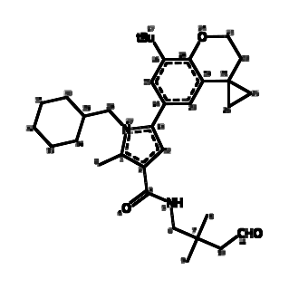 Cc1c(C(=O)NCC(C)(C)CC=O)cc(-c2cc(C(C)(C)C)c3c(c2)C2(CCO3)CC2)n1CC1CCCCC1